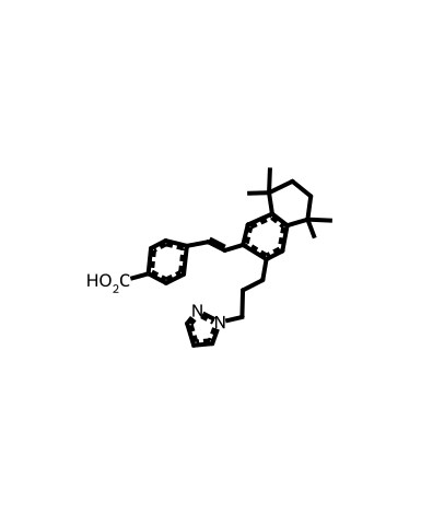 CC1(C)CCC(C)(C)c2cc(CCCn3cccn3)c(/C=C/c3ccc(C(=O)O)cc3)cc21